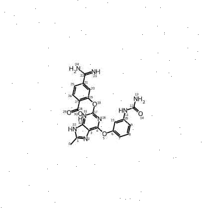 Cc1nc2c(Oc3cccc(NC(N)=O)c3)nc(Oc3cc(C(=N)N)ccc3C(=O)O)nc2[nH]1